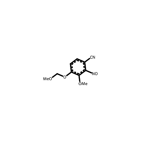 COCOc1ccc(C#N)c(N=O)c1OC